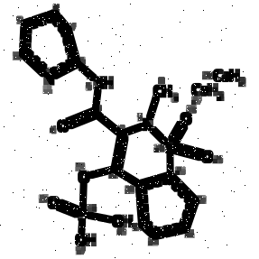 CN1C(C(=O)Nc2ccccn2)=C(OP(=O)(O)O)c2ccccc2S1(=O)=O.[CaH2].[CaH2]